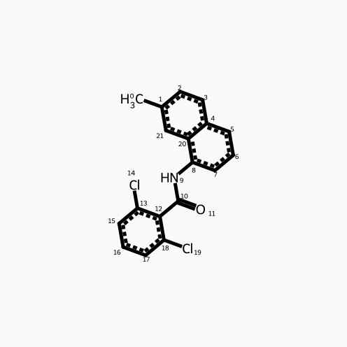 Cc1ccc2cccc(NC(=O)c3c(Cl)cccc3Cl)c2c1